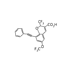 O=C(O)C1=Cc2cc(OC(F)(F)F)cc(C#Cc3ccccc3)c2OC1C(F)(F)F